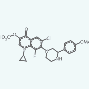 COc1ccc(C2CN(c3c(Cl)cc4c(=O)c(OC(=O)O)cn(C5CC5)c4c3F)CCN2)cc1